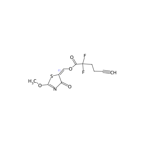 C#CCCC(F)(F)C(=O)O/C=C1/SC(OC)=NC1=O